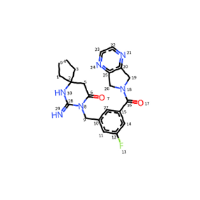 CCC1(CC)CC(=O)N(Cc2cc(F)cc(C(=O)N3Cc4nccnc4C3)c2)C(=N)N1